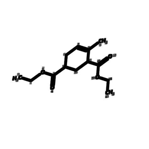 CCOC(=O)C1CC=C(C)C(C(=O)OCC)C1